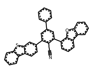 N#Cc1c(-c2ccc3c(c2)sc2ccccc23)cc(-c2ccccc2)cc1-c1cccc2c1oc1ccccc12